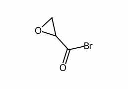 O=C(Br)C1CO1